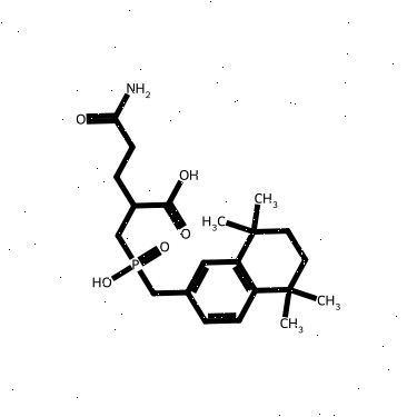 CC1(C)CCC(C)(C)c2cc(CP(=O)(O)CC(CCC(N)=O)C(=O)O)ccc21